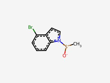 C[S+]([O-])n1ccc2c(Br)cccc21